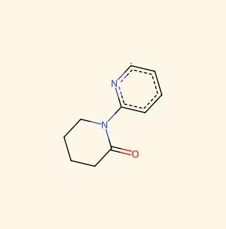 O=C1CCCCN1c1ccc[c]n1